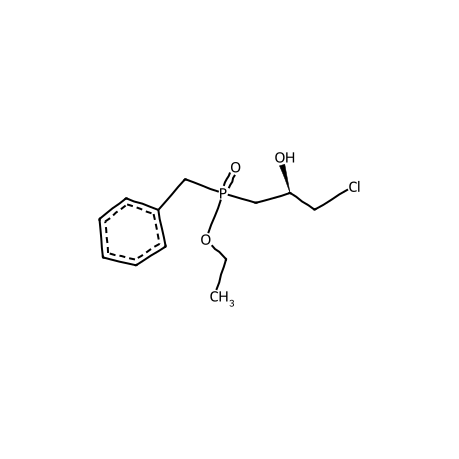 CCOP(=O)(Cc1ccccc1)C[C@@H](O)CCl